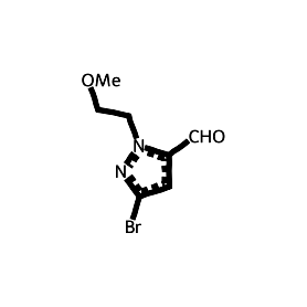 COCCn1nc(Br)cc1C=O